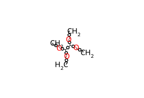 C=Cc1ccc(COc2ccc(C(c3ccc(OCc4ccc(C=C)cc4)cc3)c3ccc(C(c4ccc(OCc5ccc(C=C)cc5)cc4)c4ccc(OCc5ccc(C=C)cc5)cc4)cc3)cc2)cc1